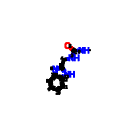 [NH]C(=O)NCc1nc2ccccc2[nH]1